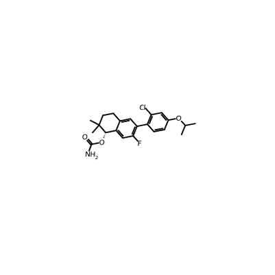 CC(C)Oc1ccc(-c2cc3c(cc2F)[C@H](OC(N)=O)C(C)(C)CC3)c(Cl)c1